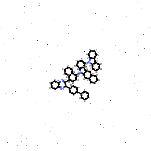 c1ccc(-c2ccc(-c3nc4ccccc4nc3-c3ccc(-n4c5cc6ccccc6cc5c5c(-n6c7ccccc7c7ccccc76)cccc54)c4ccccc34)cc2)cc1